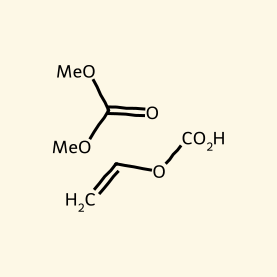 C=COC(=O)O.COC(=O)OC